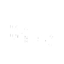 CC(N)C(=O)NC1Cc2cc3c(cc2C1)OCO3